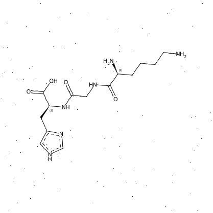 NCCCC[C@H](N)C(=O)NCC(=O)N[C@@H](Cc1c[nH]cn1)C(=O)O